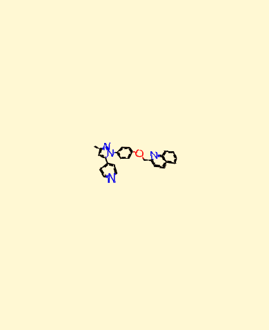 Cc1cc(-c2ccncc2)n(-c2ccc(OCc3ccc4ccccc4n3)cc2)n1